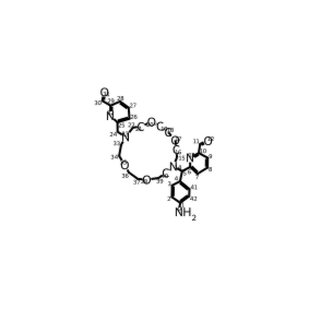 Nc1ccc(C(c2cccc(C=O)n2)N2CCOCCOCCN(Cc3cccc(C=O)n3)CCOCCOCC2)cc1